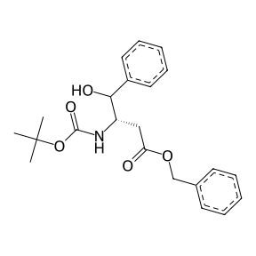 CC(C)(C)OC(=O)N[C@@H](CC(=O)OCc1ccccc1)C(O)c1ccccc1